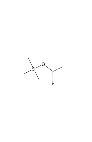 CC(F)O[Si](C)(C)C